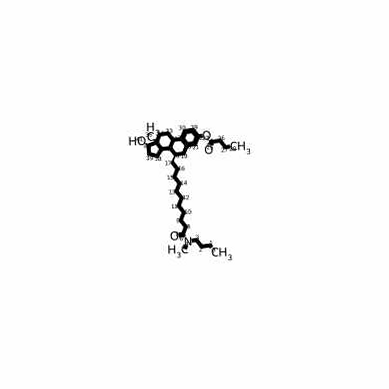 CCCCN(C)C(=O)CCCCCCCCCC[C@@H]1Cc2cc(OC(=O)CCC)ccc2C2CC[C@@]3(C)C(CC[C@@H]3O)C21